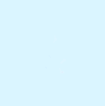 COCCn1ccnc1C(=O)O